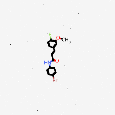 COc1cc(C=CC(=O)Nc2ccc(Br)cc2)ccc1F